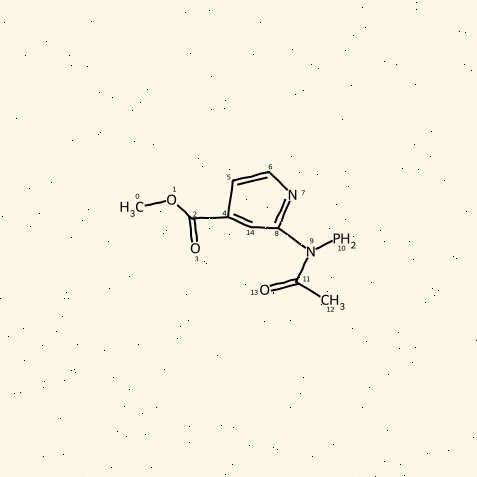 COC(=O)c1ccnc(N(P)C(C)=O)c1